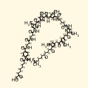 CN(C)CCCCC(=O)CCCC(=O)c1cc(CC(=O)c2cc(CC(=O)c3nc(NC(=O)CCCNC(=O)c4cc(NC(=O)c5nc(NC(=O)c6nc(NC(=O)CCNC(=O)CCNC(=O)c7ccc(NC(=O)CCCCCCC(=O)CO)cc7)cn6C)cn5C)cn4C)cn3C)cn2C)cn1C